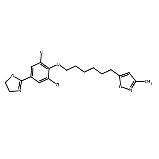 Cc1cc(CCCCCCOc2c(Cl)cc(C3=NCCO3)cc2Cl)on1